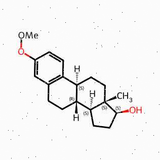 COOc1ccc2c(c1)CC[C@@H]1[C@@H]2CC[C@]2(C)[C@@H](O)CC[C@@H]12